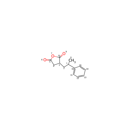 CC(CC1CC(=O)OC1=O)c1ccccc1